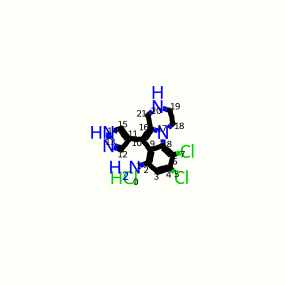 Cl.Nc1cc(Cl)c(Cl)c2c1c(-c1cn[nH]c1)c1n2CCNC1